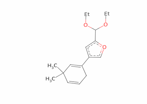 CCOC(OCC)c1cc(C2=CC(C)(C)C=CC2)co1